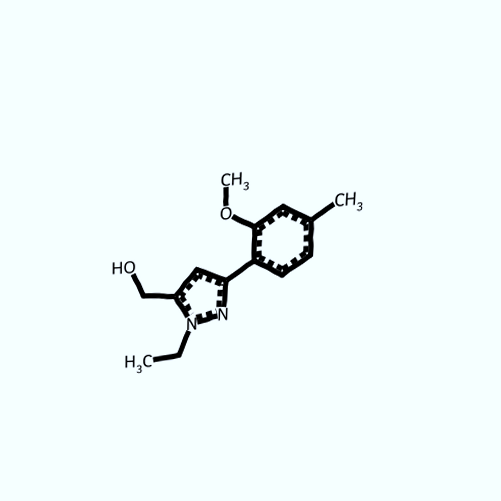 CCn1nc(-c2ccc(C)cc2OC)cc1CO